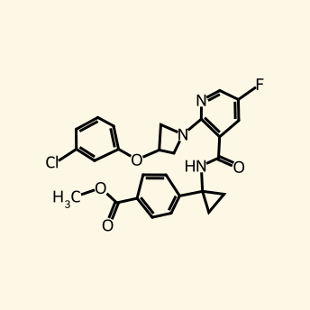 COC(=O)c1ccc(C2(NC(=O)c3cc(F)cnc3N3CC(Oc4cccc(Cl)c4)C3)CC2)cc1